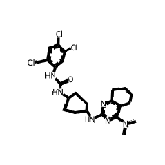 CN(C)c1nc(NC2CCC(NC(=O)Nc3cc(Cl)c(Cl)cc3Cl)CC2)nc2c1CCCC2